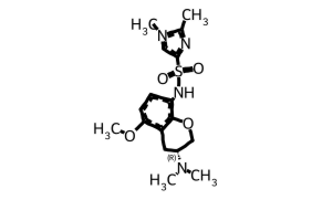 COc1ccc(NS(=O)(=O)c2cn(C)c(C)n2)c2c1C[C@@H](N(C)C)CO2